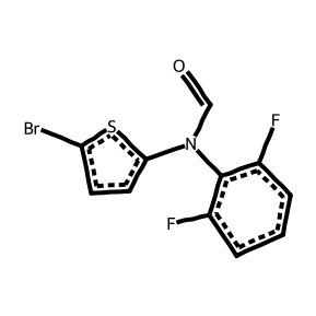 O=CN(c1ccc(Br)s1)c1c(F)cccc1F